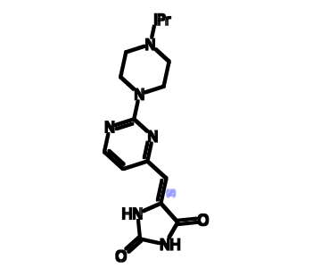 CC(C)N1CCN(c2nccc(/C=C3\NC(=O)NC3=O)n2)CC1